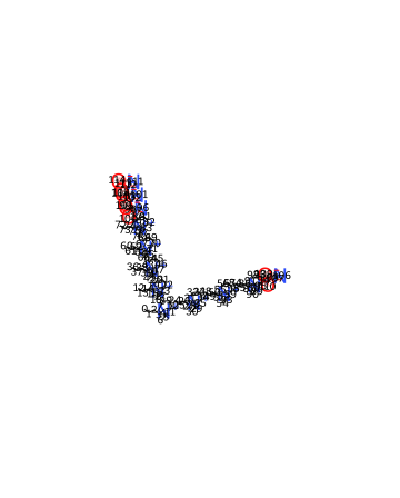 CCCC[N+]1(CC)CCCCC1.CCCC[N+]1(CC)CCCCC1.CCCC[N+]1(CC)CCCCC1.CCCC[N+]1(CC)CCCCC1.CCCC[N+]1(CC)CCCCC1.CCCC[N+]1(CC)CCCCC1.CCCC[N+]1(CC)CCCCC1.CCCC[N+]1(CC)CCCCC1.N#CB([O-])[O-].N#CB([O-])[O-].N#CB([O-])[O-].N#CB([O-])[O-]